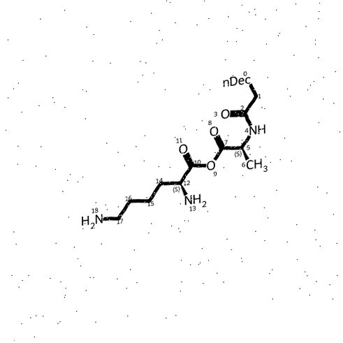 CCCCCCCCCCCC(=O)N[C@@H](C)C(=O)OC(=O)[C@@H](N)CCCCN